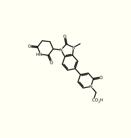 Cn1c(=O)n(C2CCC(=O)NC2=O)c2ccc(-c3ccn(CC(=O)O)c(=O)c3)cc21